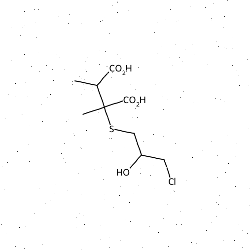 CC(C(=O)O)C(C)(SCC(O)CCl)C(=O)O